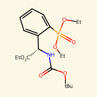 CCOC(=O)[C@@H](NC(=O)OC(C)(C)C)c1ccccc1P(=O)(OCC)OCC